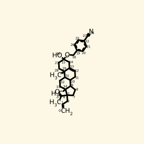 C=CCC1(C(C)=O)CCC2C3CC=C4CC(O)(OCc5ccc(C#N)cc5)CCC4(C)C3CCC21C